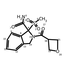 CS(=O)(=O)C1(C(N)=O)c2ccccc2CN1C(=O)C1COC1